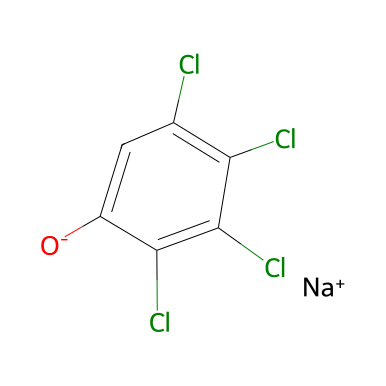 [Na+].[O-]c1cc(Cl)c(Cl)c(Cl)c1Cl